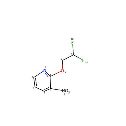 O=[N+]([O-])c1cccnc1OCC(F)F